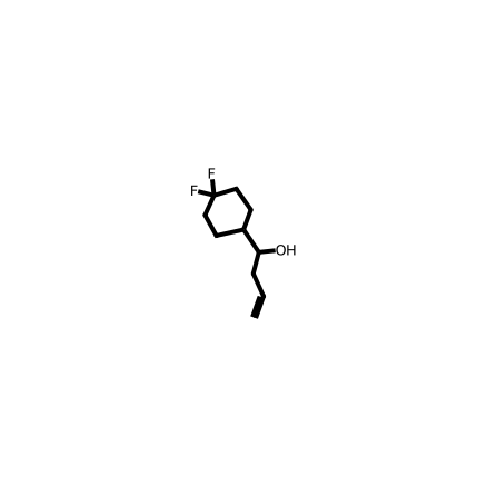 C=CCC(O)C1CCC(F)(F)CC1